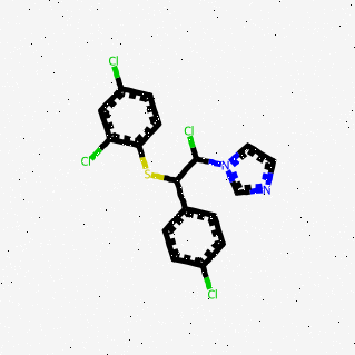 Clc1ccc(C(Sc2ccc(Cl)cc2Cl)C(Cl)n2ccnc2)cc1